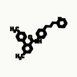 Cc1ccc(-c2cc(C)ccc2C(=O)Nc2ccc(CCCc3ccccn3)cc2)cc1